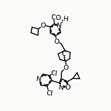 O=C(O)c1ncc(OCC23CCC(OCc4c(-c5c(Cl)cncc5Cl)noc4C4CC4)(CC2)CC3)cc1OC1CCC1